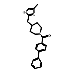 Cc1c[nH]c(CC2CCN(C(=O)c3ccc(-c4ccccc4)cc3)CC2)n1